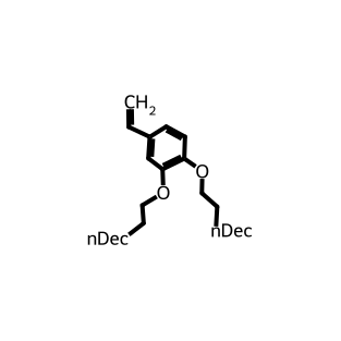 C=Cc1ccc(OCCCCCCCCCCCC)c(OCCCCCCCCCCCC)c1